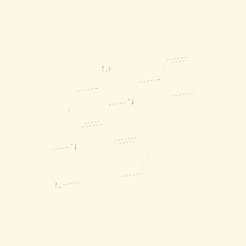 Nc1ccc(N2CC[N]CC2)cc1N(Cc1ccccc1)Cc1ccccc1